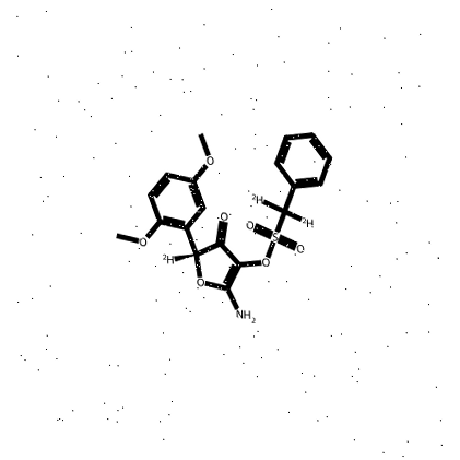 [2H]C([2H])(c1ccccc1)S(=O)(=O)OC1=C(N)O[C@]([2H])(c2cc(OC)ccc2OC)C1=O